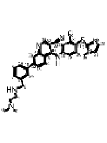 CN(C)CCNCc1cccc(-c2ccc3c(Nc4ccc(Sc5nccn5C)c(Cl)c4)c(C#N)cnc3c2)c1